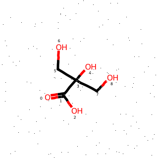 O=C(O)C(O)(CO)CO